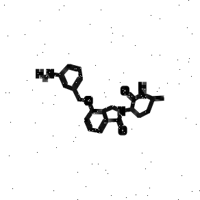 C=C1CCC(N2Cc3c(OCc4cccc(N)c4)cccc3C2=O)C(=O)N1